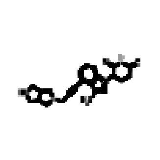 Cc1nn(C2CCC(=O)NC2=O)c2cccc(C#CCN3CC4CNCC4C3)c12